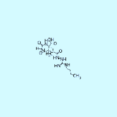 CCCCNC(=N)NNC(=O)C(C)C[C@@]1(C(=O)O)NC(=O)[C@H]2O[C@@H]2C1=O